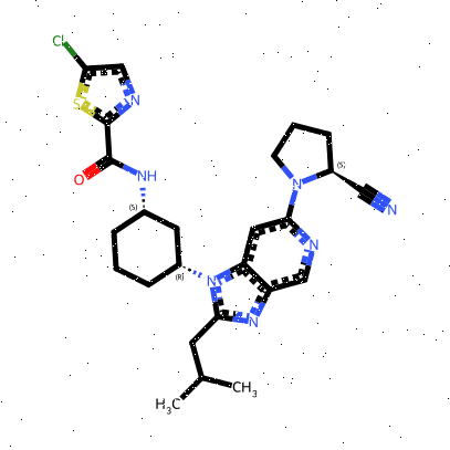 CC(C)Cc1nc2cnc(N3CCC[C@H]3C#N)cc2n1[C@@H]1CCC[C@H](NC(=O)c2ncc(Cl)s2)C1